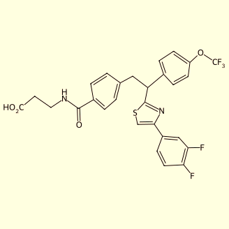 O=C(O)CCNC(=O)c1ccc(CC(c2ccc(OC(F)(F)F)cc2)c2nc(-c3ccc(F)c(F)c3)cs2)cc1